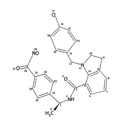 C[C@H](NC(=O)c1cccc2c1N(Cc1ccc(Cl)cc1)CC2)c1ccc(C(=O)N=O)cc1